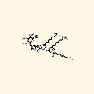 CCCCCCCC(=O)N[C@H](CSC[C@@H](COC(=O)CCCCCCC)OC(=O)CCCCCCC)C(=O)Nc1cn(CC2OC(O)C(O)C(O)C2O)nn1